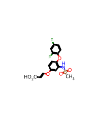 CS(=O)(=O)Nc1cc(OC=CC(=O)O)ccc1Oc1ccc(F)cc1F